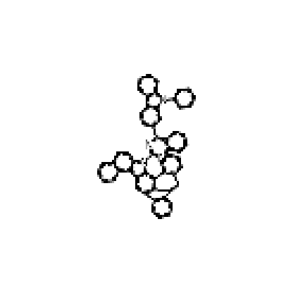 c1ccc(-n2c3ccccc3c3ccc(-c4nc(-n5c6ccc7ccccc7c6c6cc7c8c(c65)-c5ccccc5C(CC8)c5ccccc5-7)nc5ccccc45)cc32)cc1